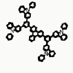 c1ccc(-n2c3ccccc3c3cc(-c4cc(-c5ccc6c7ccc(-c8cc(-c9ccc%10c(c9)c9ccccc9n%10-c9ccccc9)cc(-c9ccc%10c(c9)c9ccccc9n%10-c9ccccc9)c8)cc7c7ccccc7c6c5)cc(-c5ccc6c(c5)c5ccccc5n6-c5ccccc5)c4)ccc32)cc1